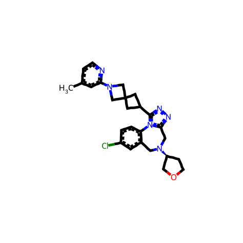 Cc1ccnc(N2CC3(CC(c4nnc5n4-c4ccc(Cl)cc4CN([C@H]4CCOC4)C5)C3)C2)c1